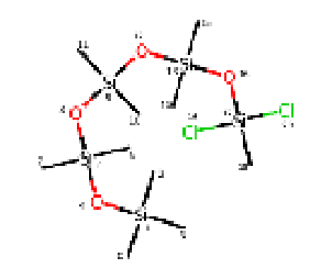 C[Si](C)(C)O[Si](C)(C)O[Si](C)(C)O[Si](C)(C)O[Si](C)(Cl)Cl